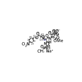 COC(=O)[C@@H]1[C@@H](NC(=O)/C(=N\OC(C)(C)C(=O)OCc2ccc([N+](=O)[O-])cc2)c2csc(NC(=O)CCl)n2)C(=O)N1S(=O)(=O)[O-].[Na+]